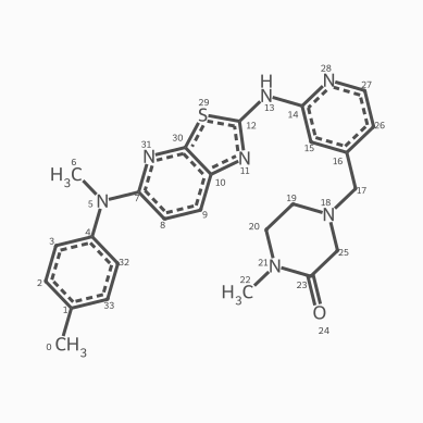 Cc1ccc(N(C)c2ccc3nc(Nc4cc(CN5CCN(C)C(=O)C5)ccn4)sc3n2)cc1